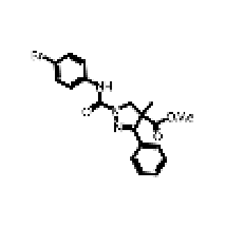 COC(=O)C1(C)CN(C(=O)Nc2ccc(Br)cc2)N=C1c1ccccc1